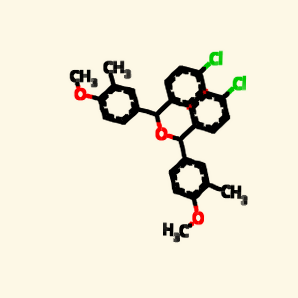 COc1ccc(C(OC(c2ccc(Cl)cc2)c2ccc(OC)c(C)c2)c2ccc(Cl)cc2)cc1C